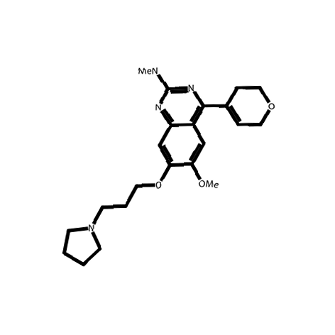 CNc1nc(C2=CCOCC2)c2cc(OC)c(OCCCN3CCCC3)cc2n1